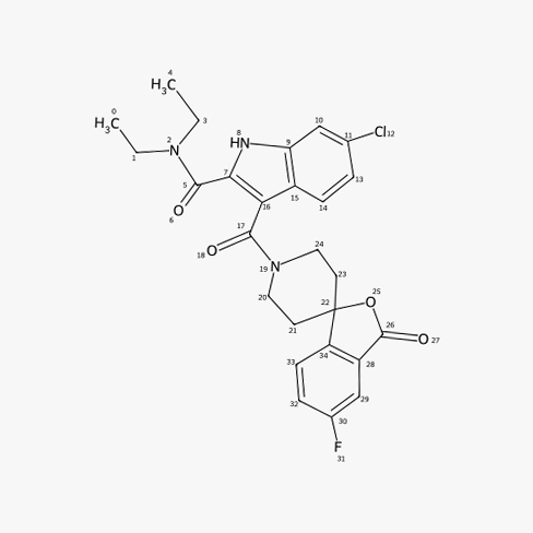 CCN(CC)C(=O)c1[nH]c2cc(Cl)ccc2c1C(=O)N1CCC2(CC1)OC(=O)c1cc(F)ccc12